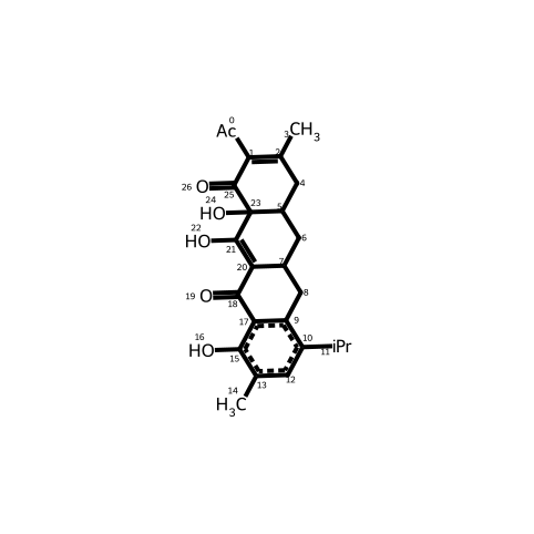 CC(=O)C1=C(C)CC2CC3Cc4c(C(C)C)cc(C)c(O)c4C(=O)C3=C(O)C2(O)C1=O